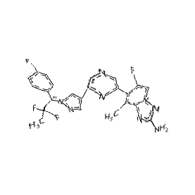 Cc1c(-c2cncc(-c3cnn([C@H](c4ccc(F)cc4)C(C)(F)F)c3)n2)c(F)cn2nc(N)nc12